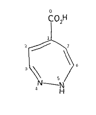 O=C(O)C1=CC=NNC=C1